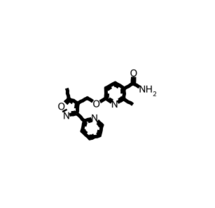 Cc1nc(OCc2c(-c3ccccn3)noc2C)ccc1C(N)=O